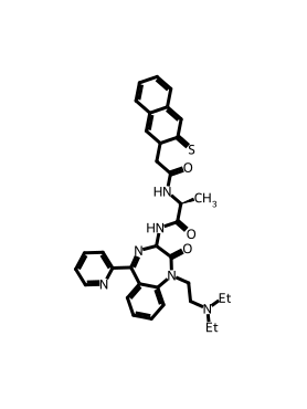 CCN(CC)CCN1C(=O)C(NC(=O)[C@H](C)NC(=O)CC2C=c3ccccc3=CC2=S)N=C(c2ccccn2)c2ccccc21